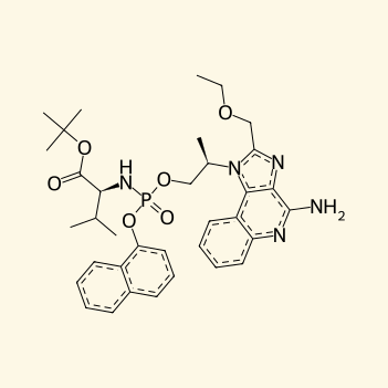 CCOCc1nc2c(N)nc3ccccc3c2n1[C@H](C)COP(=O)(N[C@H](C(=O)OC(C)(C)C)C(C)C)Oc1cccc2ccccc12